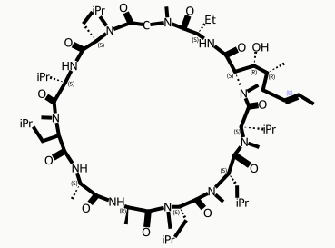 C/C=C/C[C@@H](C)[C@@H](O)[C@H]1C(=O)N[C@@H](CC)C(=O)N(C)CC(=O)N(C)[C@@H](CC(C)C)C(=O)N[C@@H](C(C)C)C(=O)N(C)C(CC(C)C)C(=O)N[C@@H](C)C(=O)N[C@H](C)C(=O)N(C)[C@@H](CC(C)C)C(=O)N(C)[C@@H](CC(C)C)C(=O)N(C)[C@@H](C(C)C)C(=O)N1C